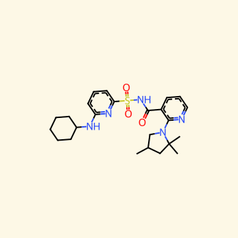 CC1CN(c2ncccc2C(=O)NS(=O)(=O)c2cccc(NC3CCCCC3)n2)C(C)(C)C1